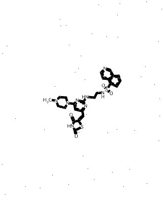 CN1CCN(c2cc(C=C3SC(=O)NC3=O)nc(NCCNS(=O)(=O)c3cccc4cnccc34)n2)CC1